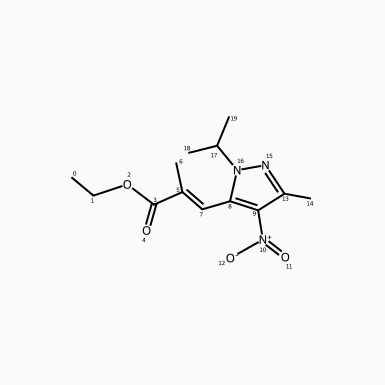 CCOC(=O)C(C)=Cc1c([N+](=O)[O-])c(C)nn1C(C)C